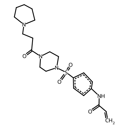 C=CC(=O)Nc1ccc(S(=O)(=O)N2CCN(C(=O)CCN3CCCCC3)CC2)cc1